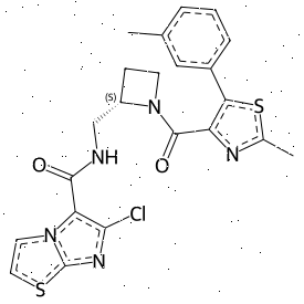 Cc1cccc(-c2sc(C)nc2C(=O)N2CC[C@H]2CNC(=O)c2c(Cl)nc3sccn23)c1